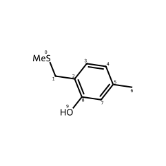 CSCc1ccc(C)cc1O